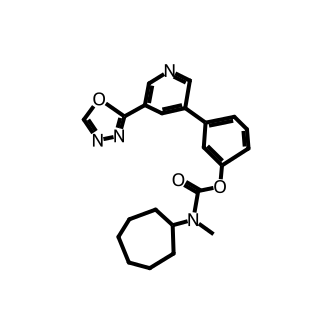 CN(C(=O)Oc1cccc(-c2cncc(-c3nnco3)c2)c1)C1CCCCCC1